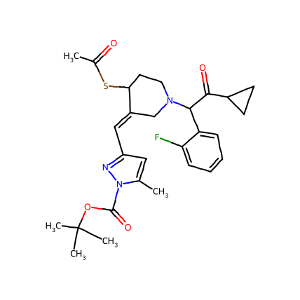 CC(=O)SC1CCN(C(C(=O)C2CC2)c2ccccc2F)C/C1=C\c1cc(C)n(C(=O)OC(C)(C)C)n1